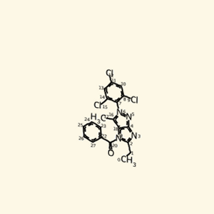 CCc1nc2nn(-c3c(Cl)cc(Cl)cc3Cl)c(C)c2n1C(=O)c1ccccc1